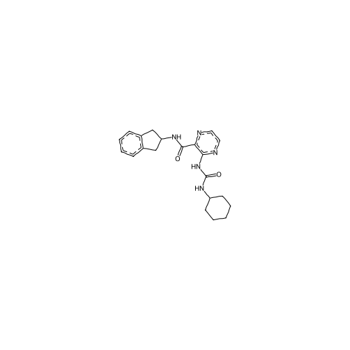 O=C(Nc1nccnc1C(=O)NC1Cc2ccccc2C1)NC1CCCCC1